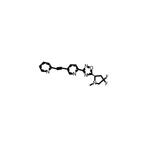 CN1CC(F)(F)C[C@@H]1c1nc(-c2ccc(C#Cc3ccccn3)cn2)no1